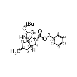 C=C1C[C@@H]2CN(C(=O)OCc3ccccc3)C[C@]2(NC(=O)OC(C)(C)C)C1